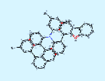 CC(C)(C)c1cc(-c2cccc3cccc(-c4ccccc4N(c4cc(C(C)(C)C)cc(C(C)(C)C)c4)c4ccccc4-c4cccc5c4oc4ccccc45)c23)cc(C(C)(C)C)c1